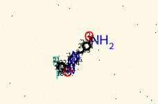 NC(=O)C1CCC(CCN2CCN(c3noc4c(F)cc(F)cc34)CC2)CC1